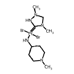 CN1CCC([NH][Pt]([Br])([Br])=[C]2NN(C)CN2C)CC1